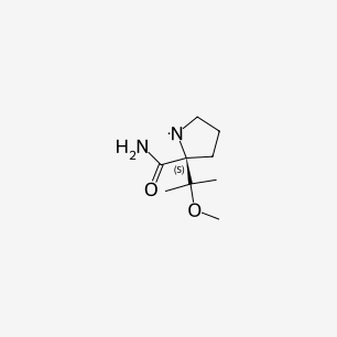 COC(C)(C)[C@]1(C(N)=O)CCC[N]1